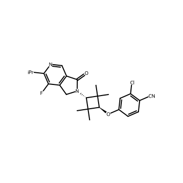 CC(C)c1ncc2c(c1F)CN([C@H]1C(C)(C)[C@H](Oc3ccc(C#N)c(Cl)c3)C1(C)C)C2=O